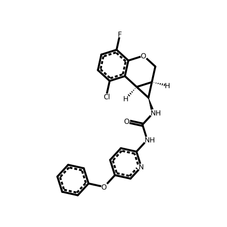 O=C(Nc1ccc(Oc2ccccc2)cn1)N[C@@H]1[C@@H]2COc3c(F)ccc(Cl)c3[C@@H]21